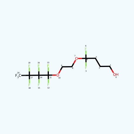 OCCCC(F)(F)OCCOC(F)(F)C(F)(F)C(F)(F)C(F)(F)F